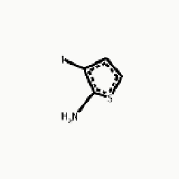 Nc1sccc1I